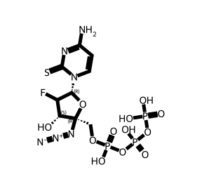 [N-]=[N+]=N[C@]1(COP(=O)(O)OP(=O)(O)OP(=O)(O)O)O[C@@H](n2ccc(N)nc2=S)C(F)[C@H]1O